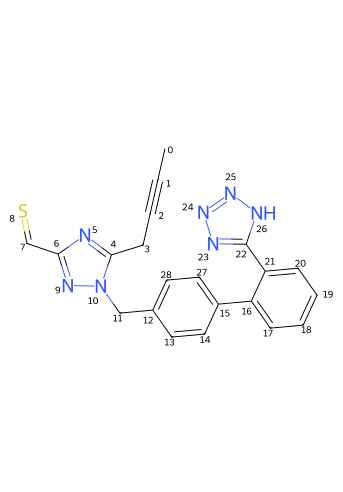 CC#CCc1nc(C=S)nn1Cc1ccc(-c2ccccc2-c2nnn[nH]2)cc1